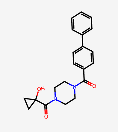 O=C(c1ccc(-c2ccccc2)cc1)N1CCN(C(=O)C2(O)CC2)CC1